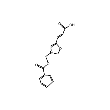 O=C(O)C=CC1=CN(COC(=O)c2ccccc2)CO1